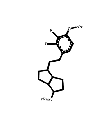 CCCCCC1CCC2C(CCc3ccc(OCCC)c(F)c3F)CCC12